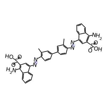 Cc1cc(-c2ccc(/N=N/c3cc(S(=O)(=O)O)c(N)c4ccccc34)c(C)c2)ccc1/N=N/c1cc(S(=O)(=O)O)c(N)c2ccccc12